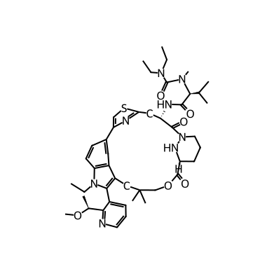 CCN(CC)C(=O)N(C)[C@H](C(=O)N[C@H]1Cc2nc(cs2)-c2ccc3c(c2)c(c(-c2cccnc2[C@H](C)OC)n3CC)CC(C)(C)COC(=O)[C@@H]2CCCN(N2)C1=O)C(C)C